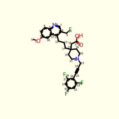 COc1ccc2ncc(CF)c(CCCC3(CC(=O)O)CCN(CC#Cc4c(F)cc(F)cc4F)CC3)c2c1